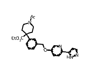 CCOC(=O)C1(c2cccc(COc3ccc(-c4ccn[nH]4)nc3)c2)CCN(C(C)=O)CC1